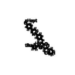 CCCCCCCOc1ccc(-c2cnc(-c3ccc(C[C@H](NC(=O)c4ccc(C(C)(C)C)s4)C(=O)N[C@@H](CC(=O)O)C(=O)N4CCCCC4)cc3)nc2)cc1